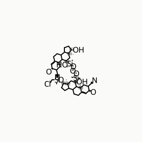 C[C@]12CC(C#N)C(=O)C=C1CCC1C3CC[C@H](O)[C@@]3(C)C[C@](O)([Si](C)(C)OOO[Si](C)(C)[C@]3(O)C[C@@]4(C)C(CC[C@H]4O[Si](C)(C)CCl)C4CCC5=CC(=O)C(C#N)C[C@]5(C)C43)C12